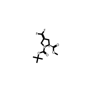 COC(=O)[C@@H]1CC(=C(F)F)CN1C(=O)OC(C)(C)C